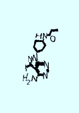 C=CC(=O)N[C@H]1CC[C@@H](n2nc(I)c3c(N)ncnc32)CC1